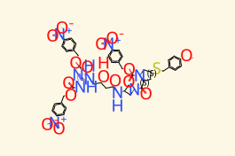 COc1ccc(CS[C@H]2C[C@@H](C(=O)N3CC(NC(=O)CC(O)CN/C(=N\C(=O)OCc4ccc([N+](=O)[O-])cc4)NC(=O)OCc4ccc([N+](=O)[O-])cc4)C3)N(C(=O)OCc3ccc([N+](=O)[O-])cc3)C2)cc1